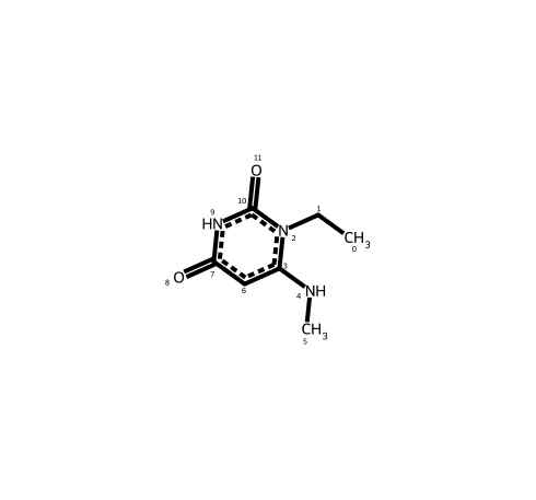 CCn1c(NC)cc(=O)[nH]c1=O